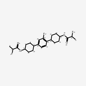 CC(F)C(=O)OC1CCC(c2ccc(C3CCC(OC(=O)C(C)F)CC3)c(F)c2)CC1